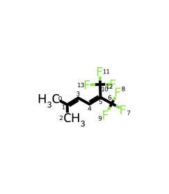 CC(C)=CC=C(C(F)(F)F)C(F)(F)F